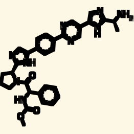 COC(=O)N[C@@H](C(=O)N1CCC[C@H]1c1ncc(-c2ccc(-c3ncc(-c4cnc([C@H](C)N)[nH]4)cn3)cc2)[nH]1)c1ccccc1